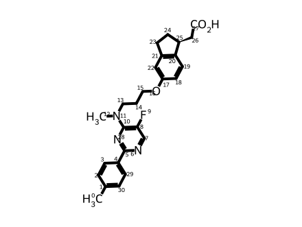 Cc1ccc(-c2ncc(F)c(N(C)CCCOc3ccc4c(c3)CC[C@H]4CC(=O)O)n2)cc1